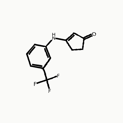 O=C1C=C(Nc2cccc(C(F)(F)F)c2)CC1